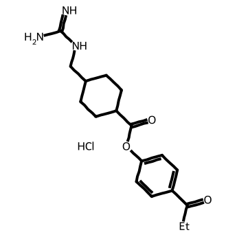 CCC(=O)c1ccc(OC(=O)C2CCC(CNC(=N)N)CC2)cc1.Cl